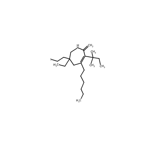 C=C1NCC(CC)(CCI)CC(CCCCCC)=C1C(C)(C)CC